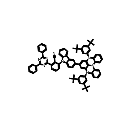 CC(C)(C)c1cc(N2c3ccccc3B3c4ccccc4N(c4cc(C(C)(C)C)cc(C(C)(C)C)c4)c4cc(-c5ccc6c(c5)c5ccccc5n6-c5cccc(-c6nc(-c7ccccc7)nc(-c7ccccc7)n6)c5C#N)cc2c43)cc(C(C)(C)C)c1